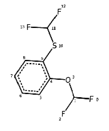 FC(F)Oc1cc[c]cc1SC(F)F